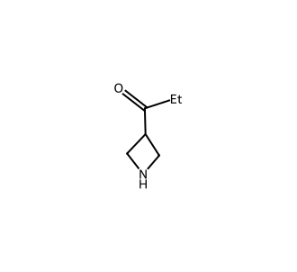 CCC(=O)C1CNC1